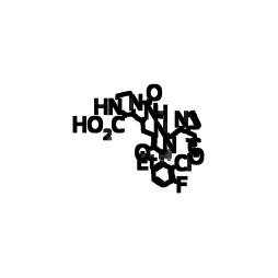 CCOC1=C(CC2C3C(C(=O)O)NCCN3C(=O)N2C)NC(C2=NC=CS2=C=O)=N[C@@H]1c1cccc(F)c1Cl